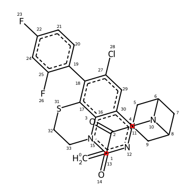 C=CC(=O)N1CC2CC(C1)N2c1nc(=O)n2c3c(c(-c4ccc(F)cc4F)c(Cl)cc13)SCC2